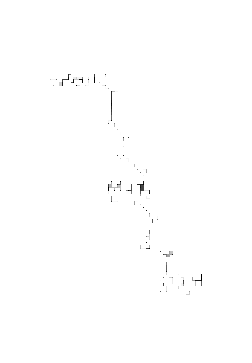 CCCCCCCCCCCCCCSCC(=O)O.[MgH2]